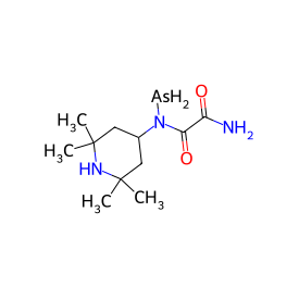 CC1(C)CC(N([AsH2])C(=O)C(N)=O)CC(C)(C)N1